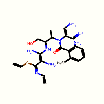 C=C/N=C(SC=C)\C(N)=C(/N)NC(CO)C(C)N(C(=O)c1c(N)cccc1[SiH3])/C(C=N)=C/N